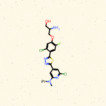 CC(C)N(C)c1cc(-c2nnc(-c3cc(F)c(OCC(N)CO)cc3Cl)s2)cc(Cl)n1